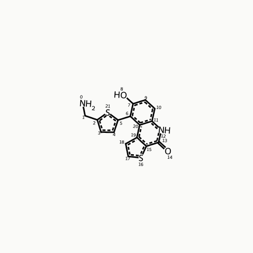 NCc1ccc(-c2c(O)ccc3[nH]c(=O)c4sccc4c23)s1